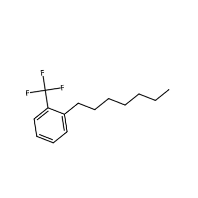 CCCCCCCc1ccccc1C(F)(F)F